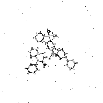 CC1(C)c2ccccc2-c2cc3c(cc21)c1ccc(-c2ccccc2)cc1n3CN(Cc1ccccc1)N(N)Cc1ccccc1